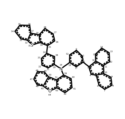 c1cc(-c2cc3ccccc3c3ccccc23)cc(N(c2cccc(-c3cccc4c3sc3ccccc34)c2)c2cccc3oc4ccccc4c23)c1